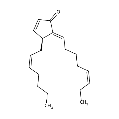 CC/C=C\CCC/C=C1/C(=O)C=C[C@@H]1C/C=C\CCCC